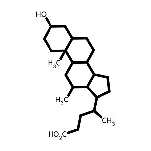 CC(CCC(=O)O)C1CCC2C3CCC4CC(O)CCC4(C)C3CC(C)C12